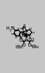 CC(C)(C)OC(=O)N(C(=O)OC(C)(C)C)C1=N[C@](CF)(c2cc(N)ccc2F)[C@@H]2CC[C@@]1(C)S2(=O)=O